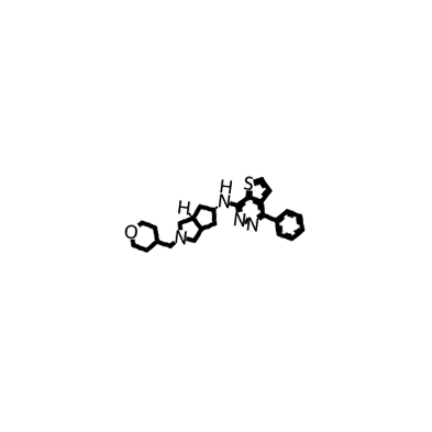 c1ccc(-c2nnc(N[C@@H]3CC4CN(CC5CCOCC5)C[C@H]4C3)c3sccc23)cc1